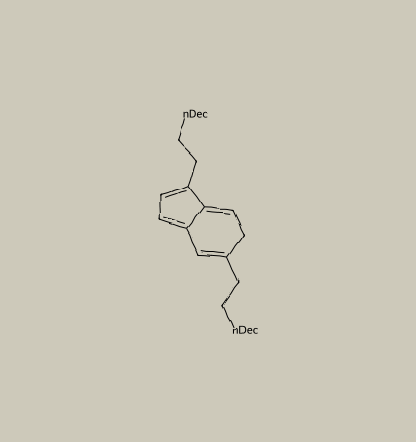 CCCCCCCCCCCCC1=CC2=CC=C(CCCCCCCCCCCC)C2=CC1